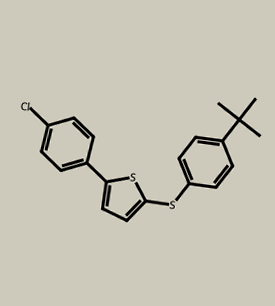 CC(C)(C)c1ccc(Sc2ccc(-c3ccc(Cl)cc3)s2)cc1